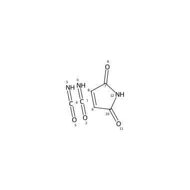 N=C=O.N=C=O.O=C1C=CC(=O)N1